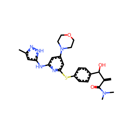 C=C(C(=O)N(C)C)C(O)c1ccc(Sc2cc(N3CCOCC3)cc(Nc3cc(C)n[nH]3)n2)cc1